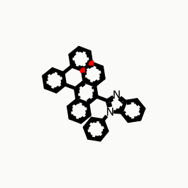 c1ccc(-c2ccccc2-c2c3ccccc3c(-c3nc4ccccc4n3-c3ccccc3)c3ccccc23)cc1